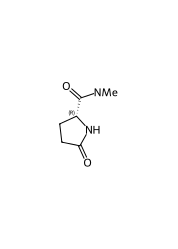 [CH2]NC(=O)[C@H]1CCC(=O)N1